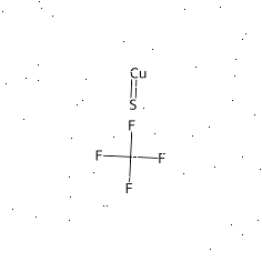 FC(F)(F)F.[S]=[Cu]